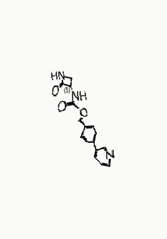 O=C(N[C@H]1CNC1=O)OCc1ccc(-c2cccnc2)cc1